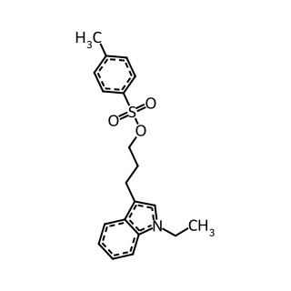 CCn1cc(CCCOS(=O)(=O)c2ccc(C)cc2)c2ccccc21